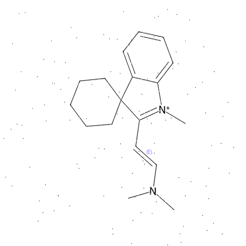 CN(C)/C=C/C1=[N+](C)c2ccccc2C12CCCCC2